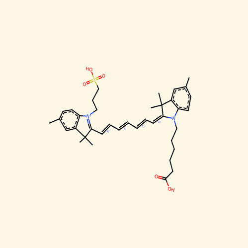 Cc1ccc2c(c1)C(C)(C)C(/C=C/C=C/C=C/C=C1/N(CCCCCC(=O)O)c3ccc(C)cc3C1(C)C)=[N+]2CCCS(=O)(=O)O